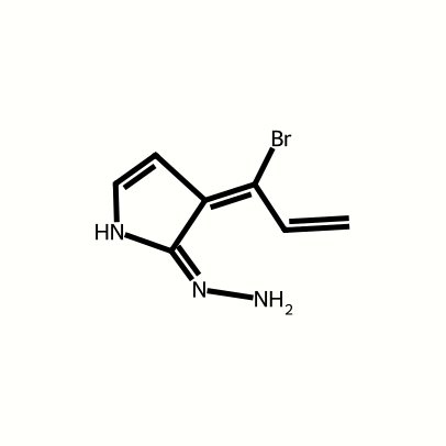 C=C/C(Br)=C1/C=CN/C1=N/N